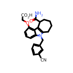 N#Cc1cccc(Cn2c3c(c4c(OCC(=O)O)cccc42)C(C(N)=O)CCCC3)c1